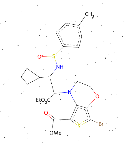 CCOC(=O)C(C(N[S+]([O-])c1ccc(C)cc1)C1CCC1)N1CCOc2c(Br)sc(C(=O)OC)c21